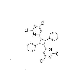 Clc1cc(C2[C@H](c3ccccc3)[C@H](c3cc(Cl)nc(Cl)n3)[C@H]2c2ccccc2)nc(Cl)n1